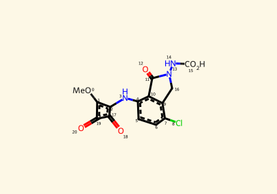 COc1c(Nc2ccc(Cl)c3c2C(=O)N(NC(=O)O)C3)c(=O)c1=O